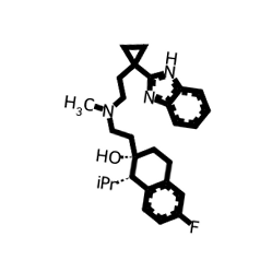 CC(C)[C@H]1c2ccc(F)cc2CC[C@]1(O)CCN(C)CCC1(c2nc3ccccc3[nH]2)CC1